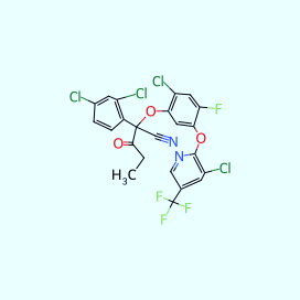 CCC(=O)C(C#N)(Oc1cc(Oc2ncc(C(F)(F)F)cc2Cl)c(F)cc1Cl)c1ccc(Cl)cc1Cl